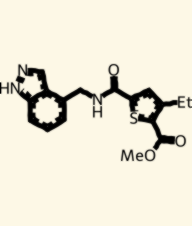 CCc1cc(C(=O)NCc2cccc3[nH]ncc23)sc1C(=O)OC